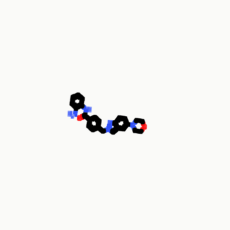 Nc1ccccc1NC(=O)c1ccc(Cn2cc3cc(N4CCOCC4)ccc3n2)cc1